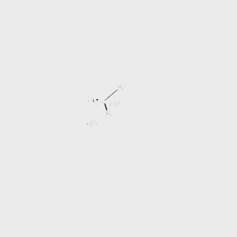 Br.Br.Br[SiH](Br)Br